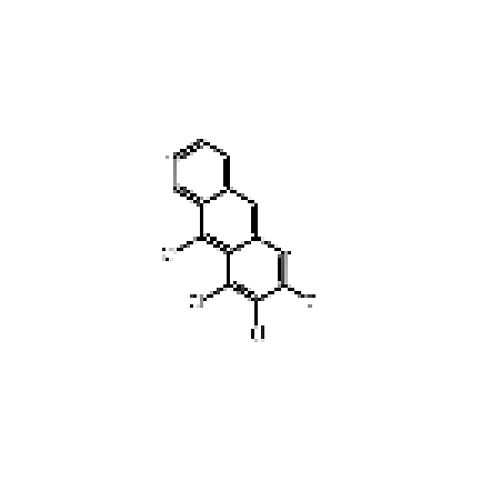 Clc1[c]c2cc3cc[c]cc3c(Cl)c2c(Cl)c1Cl